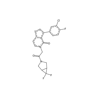 O=C(Cn1ccc2scc(-c3ccc(F)c(Cl)c3)c2c1=O)N1CC2C(C1)C2(F)F